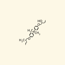 CC(CI)COc1ccc(C(C)(C)c2ccc(OCC(O)CI)cc2)cc1